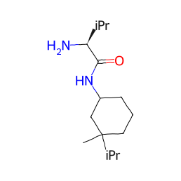 CC(C)[C@H](N)C(=O)NC1CCCC(C)(C(C)C)C1